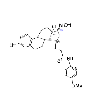 COc1ccc(NC(=O)CC[C@@H]2C/C(=N\O)[C@@]3(C)CCC4c5ccc(Cl)cc5CCC4C23)nc1